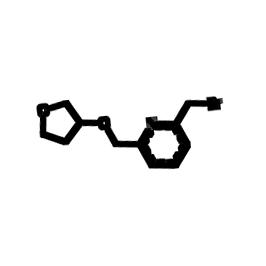 BrCc1cccc(COC2CCOC2)n1